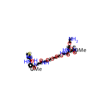 COc1ccc(NC(=O)c2cn3ccsc3n2)cc1C(=O)NCCCC(=O)NCCOCCOCCOCCOCCNC(=O)[C@@H](CCC(=O)N(C)OC)NC(=O)CCOCCN